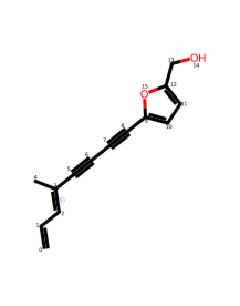 C=C/C=C(\C)C#CC#Cc1ccc(CO)o1